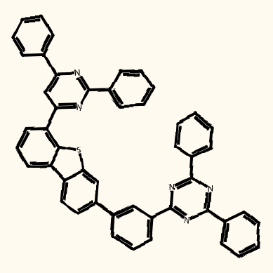 c1ccc(-c2cc(-c3cccc4c3sc3cc(-c5cccc(-c6nc(-c7ccccc7)nc(-c7ccccc7)n6)c5)ccc34)nc(-c3ccccc3)n2)cc1